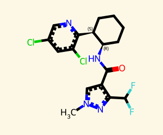 Cn1cc(C(=O)N[C@@H]2CCCC[C@@H]2c2ncc(Cl)cc2Cl)c(C(F)F)n1